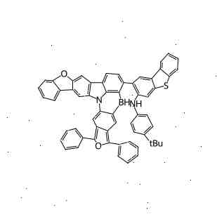 CC(C)(C)c1ccc(Nc2cc3sc4ccccc4c3cc2-c2ccc3c4cc5oc6ccccc6c5cc4n4c3c2Bc2cc3c(-c5ccccc5)oc(-c5ccccc5)c3cc2-4)cc1